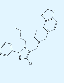 CCCCn1c(-c2ccccc2)nc(Cl)c1CN(CC)Cc1ccc2c(c1)OCO2